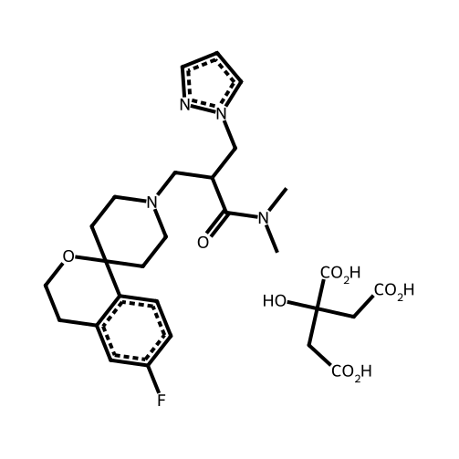 CN(C)C(=O)C(CN1CCC2(CC1)OCCc1cc(F)ccc12)Cn1cccn1.O=C(O)CC(O)(CC(=O)O)C(=O)O